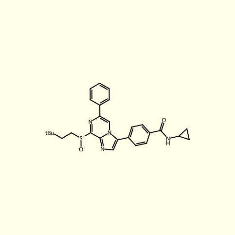 CC(C)(C)CC[S+]([O-])c1nc(-c2ccccc2)cn2c(-c3ccc(C(=O)NC4CC4)cc3)cnc12